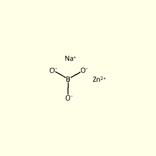 [Na+].[O-]B([O-])[O-].[Zn+2]